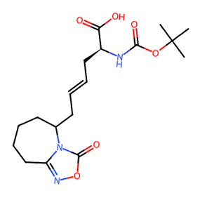 CC(C)(C)OC(=O)N[C@@H](CC=CCC1CCCCc2noc(=O)n21)C(=O)O